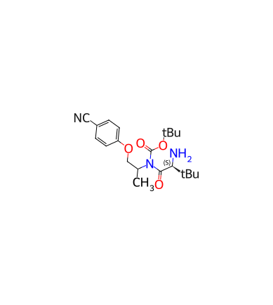 CC(COc1ccc(C#N)cc1)N(C(=O)OC(C)(C)C)C(=O)[C@@H](N)C(C)(C)C